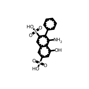 Nc1c(-c2ccccc2)c(S(=O)(=O)O)cc2cc(S(=O)(=O)O)cc(O)c12